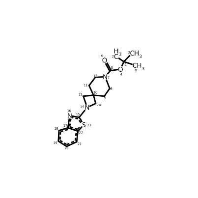 CC(C)(C)OC(=O)N1CCC2(CC1)CN(c1nc3ccccc3s1)C2